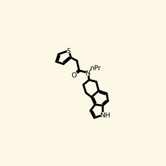 CCCN(C(=O)Cc1cccs1)C1CCc2c(ccc3[nH]ccc23)C1